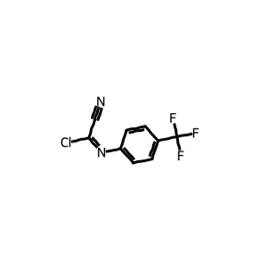 N#C/C(Cl)=N\c1ccc(C(F)(F)F)cc1